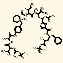 CC[C@H](I)[C@H](NC(=O)[C@H]1CCCC[N+]1(C)Cc1ccc(NC(=O)[C@H](C)NC(=O)[C@@H](NC(=O)OC(C)(C)C)C(C)C)cc1)C(=O)N(C)[C@H](C[C@@H](OC(C)=O)c1nc(C(=O)N[C@@H](Cc2ccccc2)C[C@H](C)C(=O)OC(C)(C)C)cs1)C(C)C